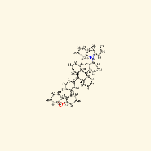 c1cc(-c2c3ccccc3c(-c3cccc(-n4c5ccccc5c5ccccc54)c3)c3ccccc23)cc(-c2cccc3oc4ccccc4c23)c1